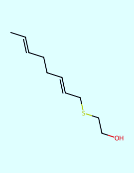 CC=CCCC=CCSCCO